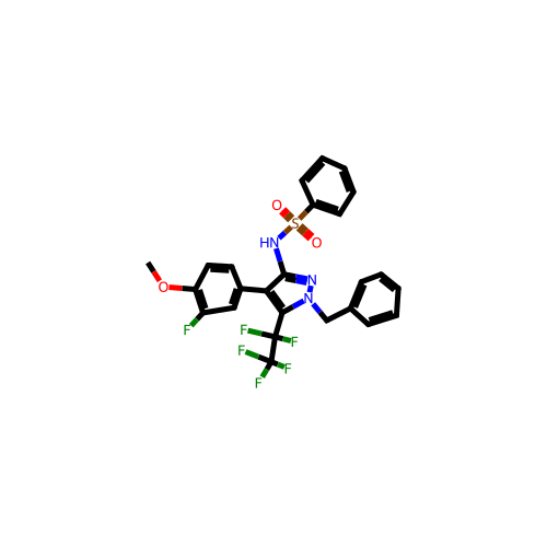 COc1ccc(-c2c(NS(=O)(=O)c3ccccc3)nn(Cc3ccccc3)c2C(F)(F)C(F)(F)F)cc1F